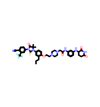 CCCc1cc(N2C(=S)N(c3ccc(C#N)c(C(F)(F)F)c3)C(=O)C2(C)C)ccc1OCCN1CCN(CC(=O)Nc2cccc(NC3CCC(=O)NC3=O)c2)CC1